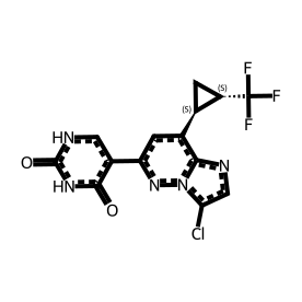 O=c1[nH]cc(-c2cc([C@H]3C[C@@H]3C(F)(F)F)c3ncc(Cl)n3n2)c(=O)[nH]1